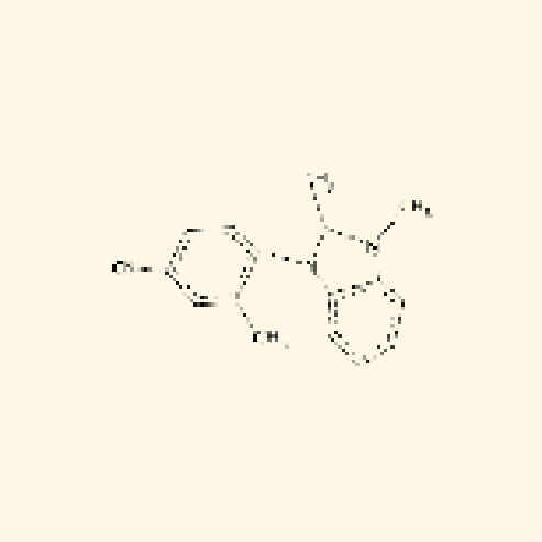 [C-]#[N+]c1ccc(N2c3ccccc3N(C)C2C)c(C)c1